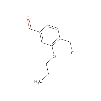 CCCOc1cc(C=O)ccc1CCl